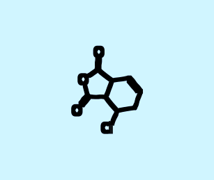 O=C1OC(=O)C2C(Cl)CC=CC12